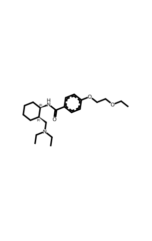 CCOCCOc1ccc(C(=O)N[C@@H]2CCCC[C@@H]2CN(CC)CC)cc1